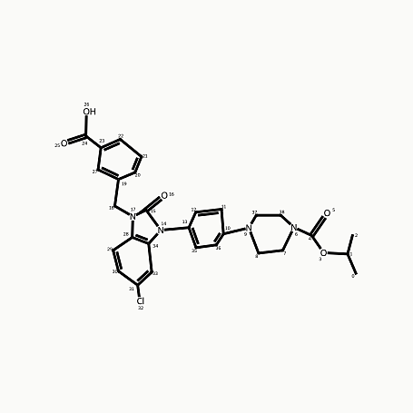 CC(C)OC(=O)N1CCN(c2ccc(-n3c(=O)n(Cc4cccc(C(=O)O)c4)c4ccc(Cl)cc43)cc2)CC1